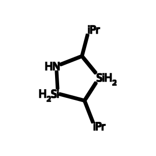 CC(C)C1N[SiH2]C(C(C)C)[SiH2]1